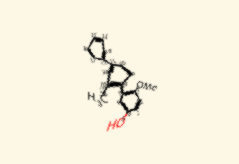 COc1ccc(O)cc1-c1ccc(-c2ccccc2)cc1C